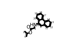 CC(C)OC(=O)CNc1cc2ccccc2c2ccccc12